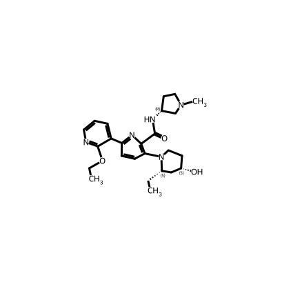 CCOc1ncccc1-c1ccc(N2CC[C@H](O)C[C@@H]2CC)c(C(=O)N[C@@H]2CCN(C)C2)n1